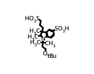 CC1=[N+](C(C)(C)CCOC(C)(C)C)c2ccc(S(=O)(=O)O)cc2C1(C)CCCS(=O)(=O)O